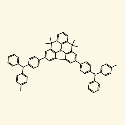 Cc1ccc(N(c2ccccc2)c2ccc(-c3cc4c5c(c3)c3cc(-c6ccc(N(c7ccccc7)c7ccc(C)cc7)cc6)cc6c3n5-c3c(cccc3C6(C)C)C4(C)C)cc2)cc1